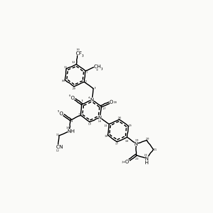 Cc1c(Cn2c(=O)c(C(=O)NCC#N)cn(-c3ccc(N4CCNC4=O)cc3)c2=O)cccc1C(F)(F)F